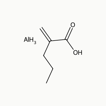 C=C(CCC)C(=O)O.[AlH3]